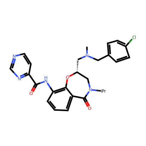 CC(C)N1C[C@@H](CN(C)Cc2ccc(Cl)cc2)Oc2c(NC(=O)c3ccncn3)cccc2C1=O